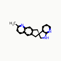 Cc1ccc2cc3c(cc2n1)C[C@@]1(CNc2ncccc21)C3